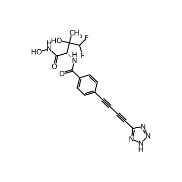 CC(O)(C(F)F)[C@H](NC(=O)c1ccc(C#CC#Cc2nn[nH]n2)cc1)C(=O)NO